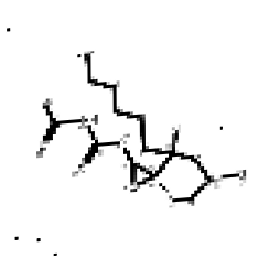 CCCCCC[C@]1(Cl)C[C@@H](Cl)CC[C@@]12OC2OC(=O)NC(C)=O